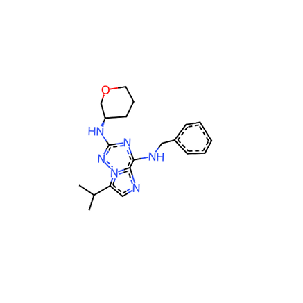 CC(C)c1cnc2c(NCc3ccccc3)nc(N[C@@H]3CCCOC3)nn12